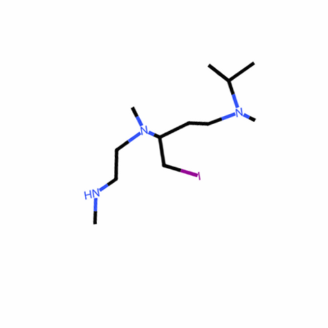 CNCCN(C)C(CI)CCN(C)C(C)C